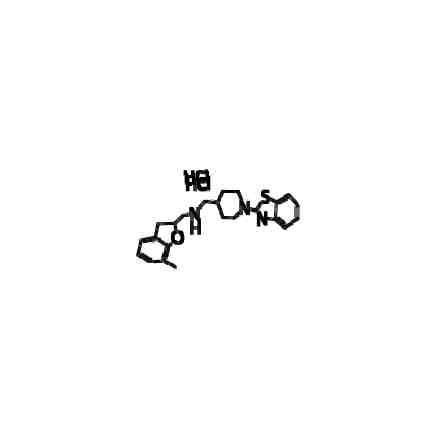 Cc1cccc2c1OC(CNCC1CCN(c3nc4ccccc4s3)CC1)C2.Cl.Cl